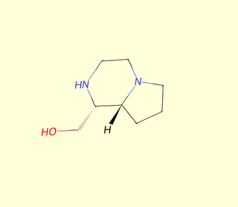 OC[C@@H]1NCCN2CCC[C@H]12